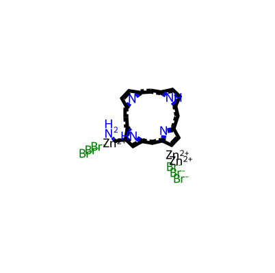 NCc1cc2cc3nc(cc4ccc(cc5nc(cc1[nH]2)C=C5)[nH]4)C=C3.[Br-].[Br-].[Br-].[Br-].[Br-].[Br-].[Zn+2].[Zn+2].[Zn+2]